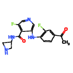 CC(=O)c1ccc(Nc2cncc(F)c2C(=O)NC2CNC2)c(F)c1